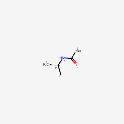 C[C@@H](NC(=O)C(C)(C)C)C(F)(F)F